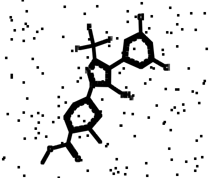 COC(=O)c1ccc(-n2nc(C(F)(F)F)c(-c3cc(Cl)cc(Cl)c3)c2N)cc1C